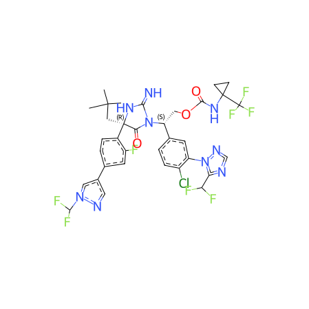 CC(C)(C)C[C@]1(c2ccc(-c3cnn(C(F)F)c3)cc2F)NC(=N)N([C@H](COC(=O)NC2(C(F)(F)F)CC2)c2ccc(Cl)c(-n3ncnc3C(F)F)c2)C1=O